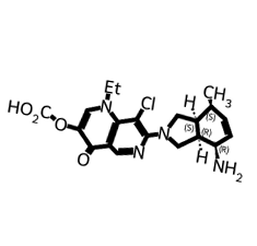 CCn1cc(OC(=O)O)c(=O)c2cnc(N3C[C@@H]4[C@H](C3)[C@H](N)C=C[C@@H]4C)c(Cl)c21